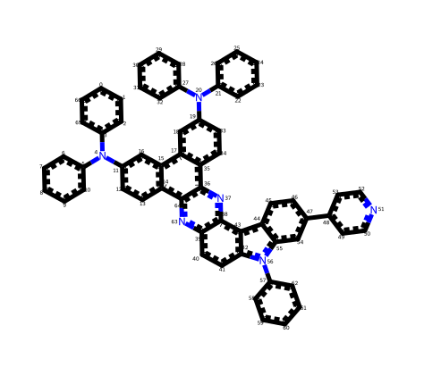 c1ccc(N(c2ccccc2)c2ccc3c(c2)c2cc(N(c4ccccc4)c4ccccc4)ccc2c2nc4c(ccc5c4c4ccc(-c6ccncc6)cc4n5-c4ccccc4)nc32)cc1